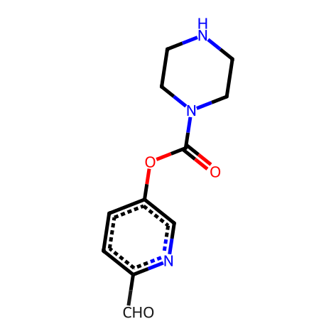 O=Cc1ccc(OC(=O)N2CCNCC2)cn1